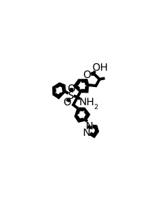 CC(Cc1cccc(C(N)(Cc2ccc(-n3cccn3)cc2)S(=O)(=O)c2ccccc2)c1)C(=O)O